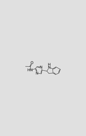 CC(=O)Nc1cnc(C2Cc3ccccc3N2)cn1